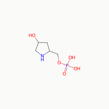 O=P(O)(O)OCC1CC(O)CN1